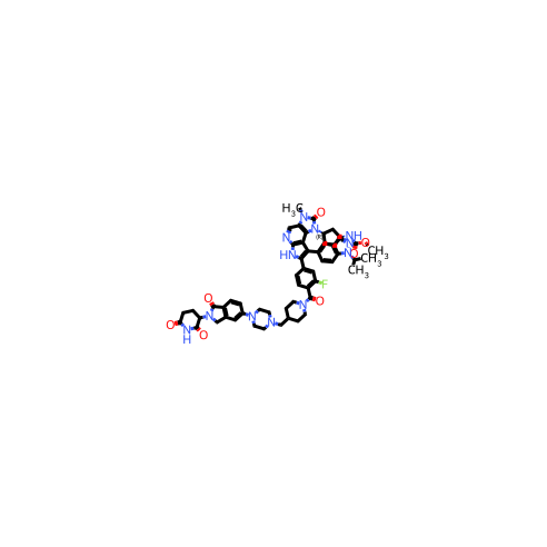 COC(=O)N[C@@H]1CC[C@@H](n2c(=O)n(C)c3cnc4[nH]c(-c5ccc(C(=O)N6CCC(CN7CCN(c8ccc9c(c8)CN(C8CCC(=O)NC8=O)C9=O)CC7)CC6)c(F)c5)c(-c5ccc6c(cnn6C(C)C)c5)c4c32)C1